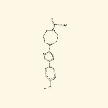 COc1ccc(-c2ccc(N3CCCN(C(=O)O)CC3)nc2)cc1